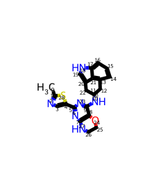 Cc1ncc(-c2nc3c(c(N[C@H]4Cc5cccc6[nH]cc(c56)C4)n2)OCCN3)s1